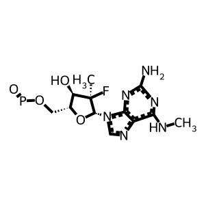 CNc1nc(N)nc2c1ncn2[C@@H]1O[C@H](COP=O)[C@@H](O)[C@@]1(C)F